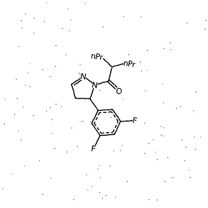 CCCC(CCC)C(=O)N1N=CCC1c1cc(F)cc(F)c1